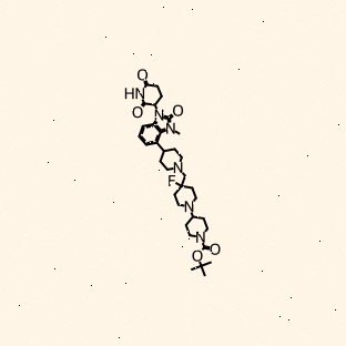 Cn1c(=O)n(C2CCC(=O)NC2=O)c2cccc(C3CCN(CC4(F)CCN(C5CCN(C(=O)OC(C)(C)C)CC5)CC4)CC3)c21